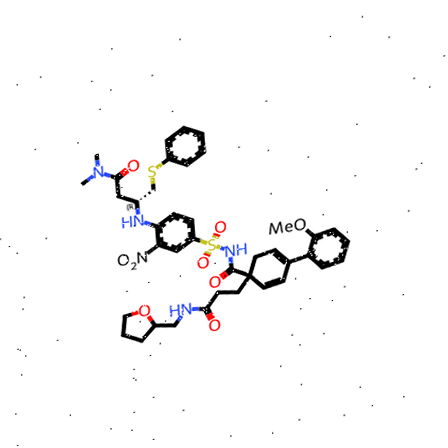 COc1ccccc1C1=CCC(CCC(=O)NCC2CCCO2)(C(=O)NS(=O)(=O)c2ccc(N[C@@H](CSc3ccccc3)CC(=O)N(C)C)c([N+](=O)[O-])c2)C=C1